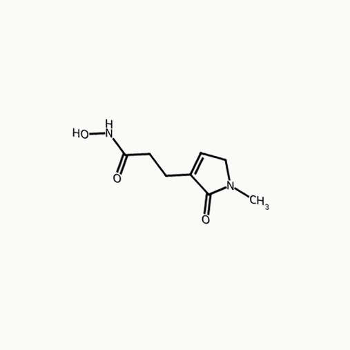 CN1CC=C(CCC(=O)NO)C1=O